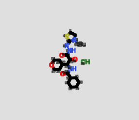 CC(C)(C)N1CCSC1=NNC(=O)C(=O)C(NC(=O)C1CCCCC1)C1CCOCC1.Cl